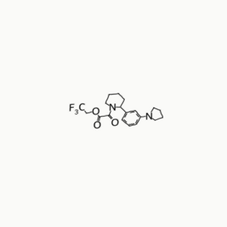 O=C(OCC(F)(F)F)C(=O)N1CCCCC1c1cccc(N2CCCC2)c1